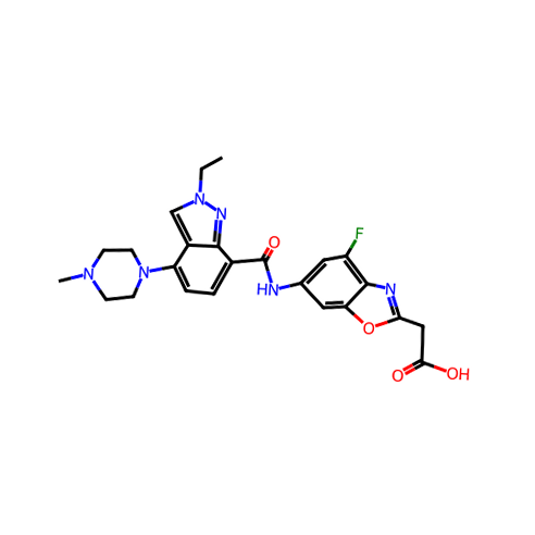 CCn1cc2c(N3CCN(C)CC3)ccc(C(=O)Nc3cc(F)c4nc(CC(=O)O)oc4c3)c2n1